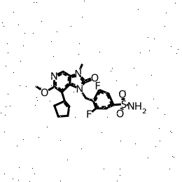 COc1ncc2c(c1C1=CCCC1)n(Cc1c(F)cc(S(N)(=O)=O)cc1F)c(=O)n2C